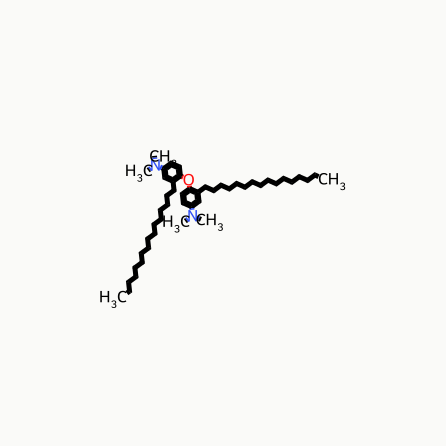 CCCCCCCCCCCCCCCCc1cc(N(C)C)ccc1Oc1ccc(N(C)C)cc1CCCCCCCCCCCCCCCC